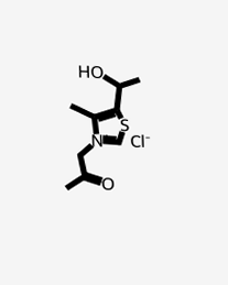 CC(=O)C[n+]1csc(C(C)O)c1C.[Cl-]